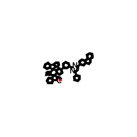 c1ccc(-c2cc(-c3ccc4c(ccc5ccccc54)c3)nc(-c3cccc(-c4ccc5c(c4)C4(c6ccccc6-c6ccccc64)c4ccccc4C54c5ccccc5-c5ccccc54)c3)n2)cc1